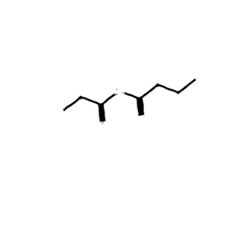 CCCC(=O)[N]C(=O)CC